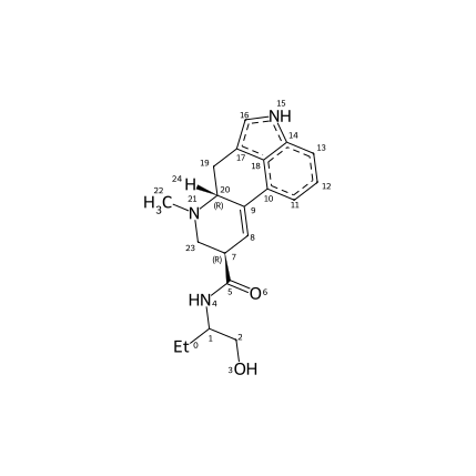 CCC(CO)NC(=O)[C@@H]1C=C2c3cccc4[nH]cc(c34)C[C@H]2N(C)C1